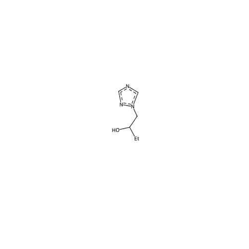 CCC(O)Cn1cncn1